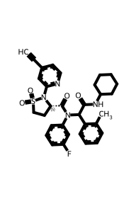 C#Cc1ccnc(N2[C@H](C(=O)N(c3cccc(F)c3)C(C(=O)NC3CCCCC3)c3ccccc3C)CCS2(=O)=O)c1